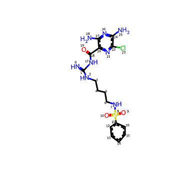 N=C(NCCCCNS(=O)(=O)c1ccccc1)NC(=O)c1nc(Cl)c(N)nc1N